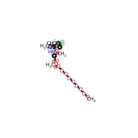 COCCOCCOCCOCCOCCOCCOCCOCCOC(=O)OC(C)OC(=O)c1ccc(NC(=O)[C@@H]2N[C@@H](CC(C)(C)C)[C@](C)(c3ccc(Cl)cc3F)[C@H]2c2cccc(Cl)c2F)c(OC)c1